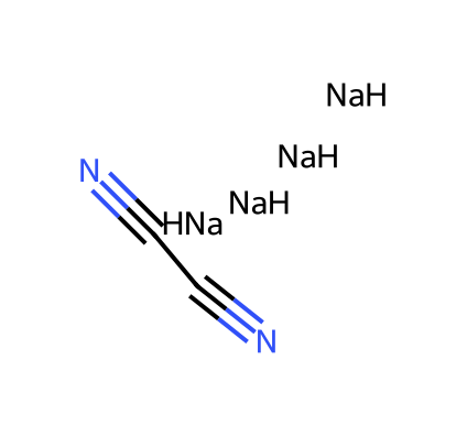 N#CC#N.[NaH].[NaH].[NaH].[NaH]